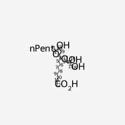 CCCCCC1OC(C(CCCCCCCC(=O)O)OCC(O)CO)CC1O